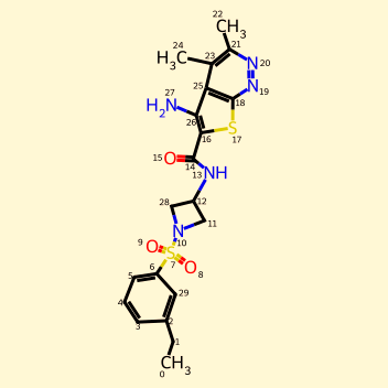 CCc1cccc(S(=O)(=O)N2CC(NC(=O)c3sc4nnc(C)c(C)c4c3N)C2)c1